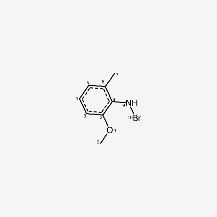 COc1cccc(C)c1NBr